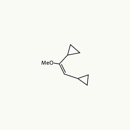 COC(=CC1CC1)C1CC1